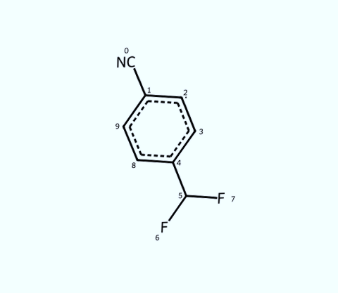 N#Cc1[c]cc(C(F)F)cc1